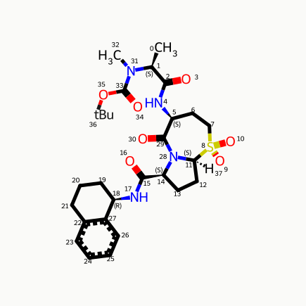 C[C@@H](C(=O)N[C@H]1CCS(=O)(=O)[C@H]2CC[C@@H](C(=O)N[C@@H]3CCCc4ccccc43)N2C1=O)N(C)C(=O)OC(C)(C)C